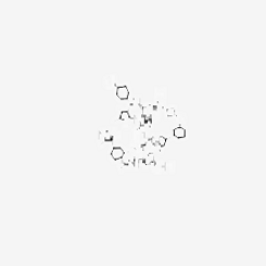 Cc1ncoc1-c1ccc([C@H](C)NC(=O)[C@@H]2C[C@@H](O)CN2C(=O)[C@H](C(C)C)n2cc(-c3cccc(O[C@H]4C[C@@H](NC(=O)C[C@@H]5N=C(c6ccc(Cl)cc6)c6c(sc(C)c6C)-n6c(C)nnc65)C4)c3)cn2)cc1